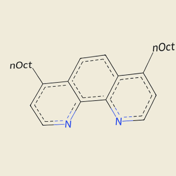 CCCCCCCCc1ccnc2c1ccc1c(CCCCCCCC)ccnc12